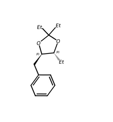 [CH2]C[C@H]1OC(CC)(CC)O[C@@H]1Cc1ccccc1